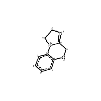 c1ccc2c(c1)OCC1=NCCN12